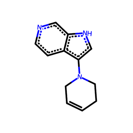 C1=CCN(c2c[nH]c3cnccc23)CC1